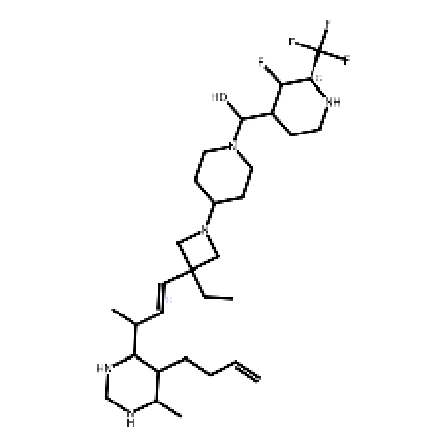 C=CCCC1C(C)NCNC1C(C)/C=C/C1(CC)CN(C2CCN(C(O)C3CCN[C@H](C(F)(F)F)C3F)CC2)C1